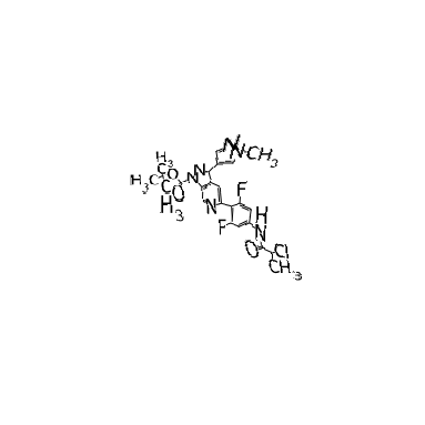 CC(Cl)C(=O)Nc1cc(F)c(-c2cc3c(-c4cnn(C)c4)nn(C(=O)OC(C)(C)C)c3cn2)c(F)c1